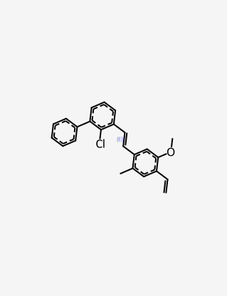 C=Cc1cc(C)c(/C=C/c2cccc(-c3ccccc3)c2Cl)cc1OC